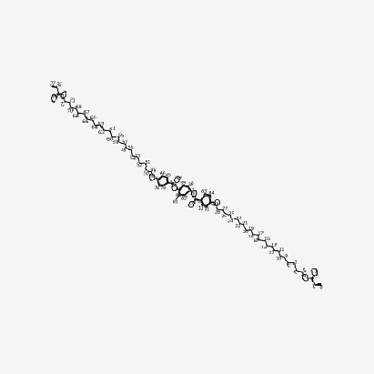 C=CC(=O)OCCCCCCCCCCCCCCCCCCCCCCCCOc1ccc(C(=O)Oc2ccc(OC(=O)c3ccc(OCCCCCCCCCCCCCCCCCCCCCCCCOC(=O)C=C)cc3)c(C)c2)cc1